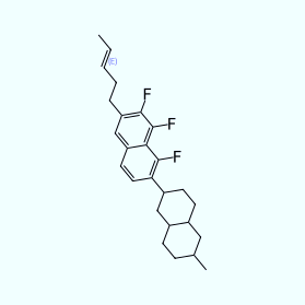 C/C=C/CCc1cc2ccc(C3CCC4CC(C)CCC4C3)c(F)c2c(F)c1F